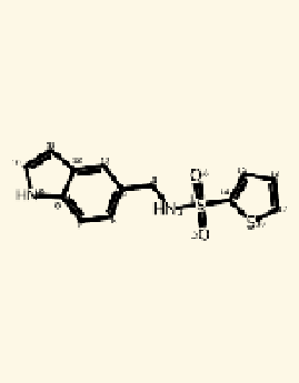 O=S(=O)(NCc1ccc2[nH]ccc2c1)c1cccs1